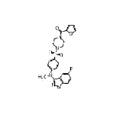 CN(C1=N[N]c2ccc(F)cc21)c1ccc(S(=O)(=O)N2CCN(C(=O)c3ccco3)CC2)cc1